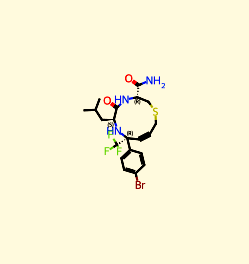 CC(C)C[C@@H]1N[C@@](c2ccc(Br)cc2)(C(F)(F)F)C#CCSC[C@@H](C(N)=O)NC1=O